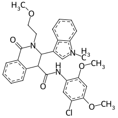 COCCN1C(=O)c2ccccc2C(C(=O)Nc2cc(Cl)c(OC)cc2OC)C1c1cn(C)c2ccccc12